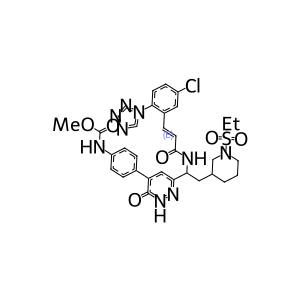 CCS(=O)(=O)N1CCCC(CC(NC(=O)/C=C/c2cc(Cl)ccc2-n2cnnn2)c2cc(-c3ccc(NC(=O)OC)cc3)c(=O)[nH]n2)C1